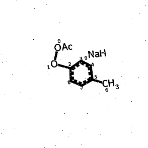 CC(=O)OOc1ccc(C)cc1.[NaH]